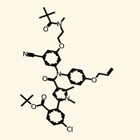 C=CCOc1ccc(N(C(=O)c2cc(-c3cc(Cl)ccc3C(=O)OC(C)(C)C)n(C)c2C)c2cc(C#N)cc(OCCN(C)C(=O)C(C)(C)C)c2)cc1